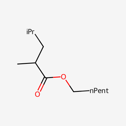 CCCCCCOC(=O)C(C)CC(C)C